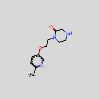 CC(C)(C)c1ccc(OCCN2CCNCC2=O)cn1